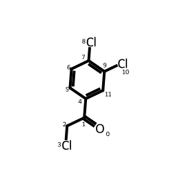 O=C(CCl)c1ccc(Cl)c(Cl)c1